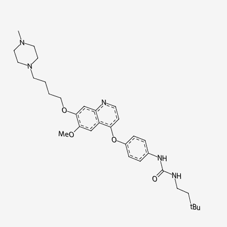 COc1cc2c(Oc3ccc(NC(=O)NCCC(C)(C)C)cc3)ccnc2cc1OCCCCN1CCN(C)CC1